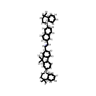 CC1(C)CCN(c2ccc3c(c2)C(C)(C)c2cc(/C=C/c4ccc5cc(N6CCC(C)(C)c7ccccc76)ccc5c4)ccc2-3)c2ccccc21